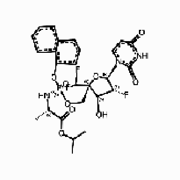 CC(C)OC(=O)[C@H](C)N[P@](=O)(OC[C@@]1(C(F)F)O[C@@H](n2ccc(=O)[nH]c2=O)[C@H](F)[C@H]1O)Oc1cccc2ccccc12